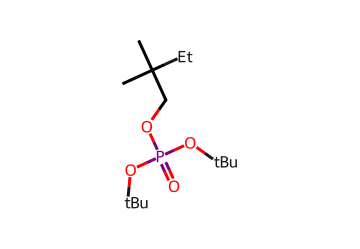 CCC(C)(C)COP(=O)(OC(C)(C)C)OC(C)(C)C